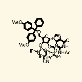 COc1ccc(C(OC[C@H]2O[C@@H](n3cnc4c(=O)[nH]c(NC(C)=O)nc43)[C@@H](OCO[Si](C(C)C)(C(C)C)C(C)C)C2OP(OCCC#N)N(C(C)C)C(C)C)(c2ccccc2)c2ccc(OC)cc2)cc1